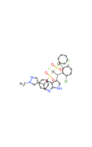 Cn1cc(-c2cnc3[nH]cc(C(c4c(Cl)ccc(F)c4Cl)C(F)(S(=O)(=O)c4ccccc4)S(=O)(=O)c4ccccc4)c3c2)cn1